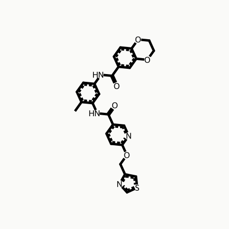 Cc1ccc(NC(=O)c2ccc3c(c2)OCCO3)cc1NC(=O)c1ccc(OCc2cscn2)nc1